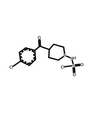 O=C(c1ccc(Cl)cc1)C1CCN(NS(=O)(=O)Cl)CC1